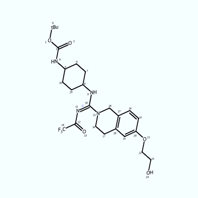 CC(C)(C)OC(=O)NC1CCC(N/C(=N/C(=O)C(F)(F)F)N2CCc3cc(OCCO)ccc3C2)CC1